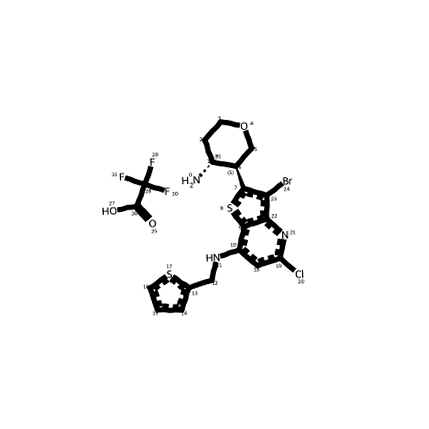 N[C@@H]1CCOC[C@H]1c1sc2c(NCc3cccs3)cc(Cl)nc2c1Br.O=C(O)C(F)(F)F